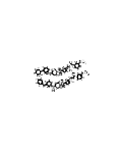 O=C(NCc1ccc(S(=O)(=O)N2CCC(Nc3cccc(-c4ccccc4)c3)CC2)s1)c1cccc([N+](=O)[O-])c1.O=C(NCc1ccc(S(=O)(=O)N2CCC(Nc3cccc(Cc4ccccc4)c3)CC2)s1)c1cccc([N+](=O)[O-])c1